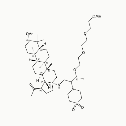 C=C(C)[C@@H]1CC[C@]2(NCC([C@@H](C)OCCOCCOCCOC)N3CCS(=O)(=O)CC3)CC[C@]3(C)[C@H](CC[C@@H]4[C@@]5(C)CC[C@H](OC(C)=O)C(C)(C)[C@@H]5CC[C@]43C)[C@@H]12